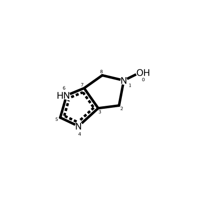 ON1Cc2nc[nH]c2C1